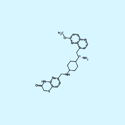 COc1ccc2nccc(C[C@H](N)C3CCC(NCc4ccc5c(n4)NC(=O)CS5)CC3)c2n1